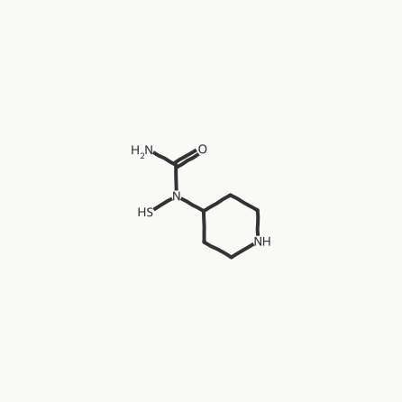 NC(=O)N(S)C1CCNCC1